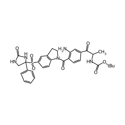 CC(NC(=O)OC(C)(C)C)C(=O)c1ccc(C(=O)N2CCc3cc(S(=O)(=O)C4(c5ccccc5)CNC(=O)N4)ccc32)c(N)c1